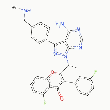 CC(C)NCc1ccc(-c2nn(C(C)c3oc4cccc(F)c4c(=O)c3-c3cccc(F)c3)c3ncnc(N)c23)cc1